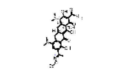 CCO/N=C(\C)c1cc(N(C)C)c2c(c1O)C(=O)C1=C(O)[C@]3(O)C(=O)C(C(N)=O)=C(O)[C@@H](N(C)C)[C@@H]3C[C@@H]1C2